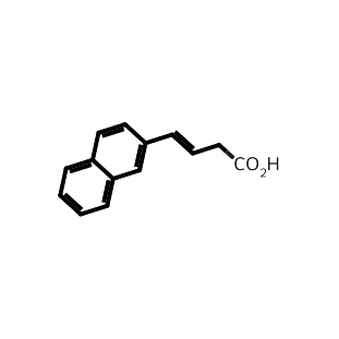 O=C(O)CC=Cc1ccc2ccccc2c1